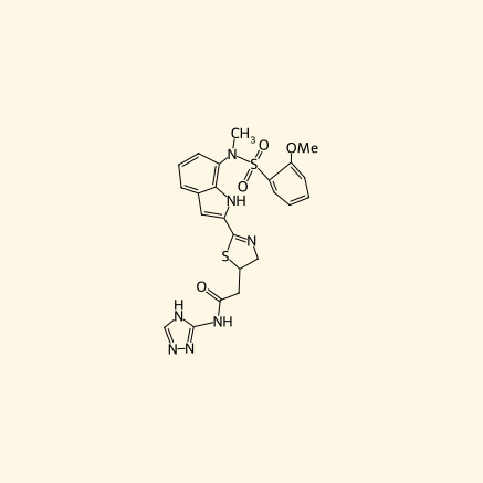 COc1ccccc1S(=O)(=O)N(C)c1cccc2cc(C3=NCC(CC(=O)Nc4nnc[nH]4)S3)[nH]c12